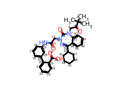 CC(C)(C)C(=O)CN1C(=O)N(CC(=O)Nc2cccc(-c3ccccc3C(=O)O)c2)N=C(C2CCCCC2)c2ccccc21